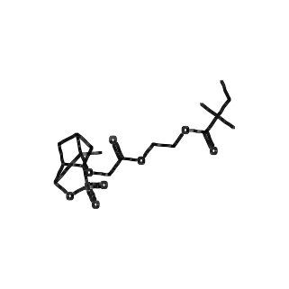 CCC(C)(C)C(=O)OCCOC(=O)COC1(C)C2CC3C1OS(=O)(=O)C3C2